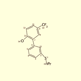 CCCSc1cccc(-c2cc(C(F)(F)F)ccc2[O])c1